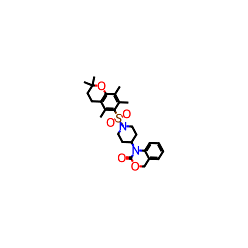 Cc1c(C)c(S(=O)(=O)N2CCC(N3C(=O)OCc4ccccc43)CC2)c(C)c2c1OC(C)(C)CC2